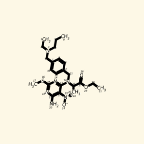 CCCN(CC)Cc1ccc(CN(c2nc(SC)nc(N)c2[N+](=O)[O-])C(C)C(=O)OCC)cc1